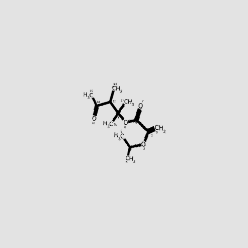 C=C(OC(C)C)C(=O)OC(C)(C)C(C)C(C)=O